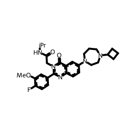 COc1cc(-c2nc3ccc(N4CCCN(C5CCC5)CC4)cc3c(=O)n2CC(=O)NC(C)C)ccc1F